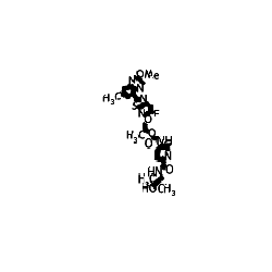 COc1cnc2c(-c3nc4cc(F)c(OC[C@@H](C)OC(=O)Nc5ccc(C(=O)NCC(C)(C)O)nc5)nc4s3)cc(C)cc2n1